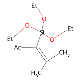 CCO[Si](OCC)(OCC)C(C(C)=O)=C(C)C